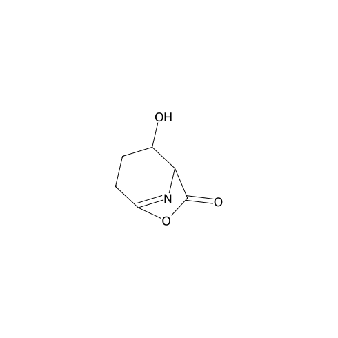 O=C1OC2=NC1C(O)CC2